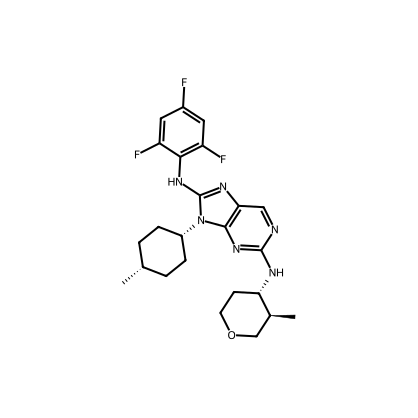 C[C@H]1COCC[C@@H]1Nc1ncc2nc(Nc3c(F)cc(F)cc3F)n([C@H]3CC[C@@H](C)CC3)c2n1